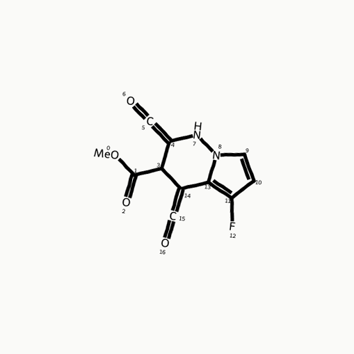 COC(=O)C1C(=C=O)Nn2ccc(F)c2C1=C=O